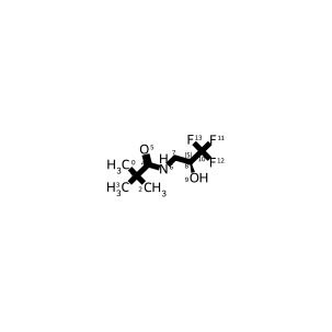 CC(C)(C)C(=O)NC[C@H](O)C(F)(F)F